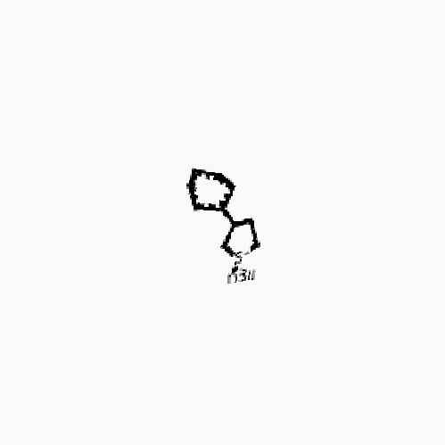 CCCC[S+]1CCC(c2ccccc2)C1